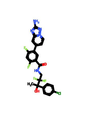 CC(O)(c1ccc(Cl)cc1)C(F)(F)CNC(=O)c1cc(-c2ccn3nc(N)nc3c2)c(F)cc1F